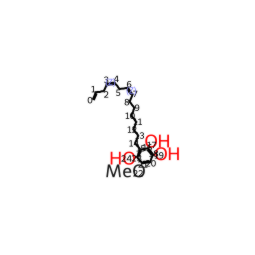 C=CC/C=C\C/C=C\CCCCCCCc1c(O)c(O)cc(OC)c1O